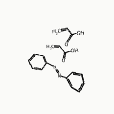 C=CC(=O)O.C=CC(=O)O.c1ccc(N=Nc2ccccc2)cc1